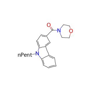 CCCCCn1c2ccccc2c2cc(C(=O)N3CCOCC3)ccc21